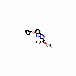 COCC(C)(C)C1Cn2nc3c(OCc4ccccc4)cccc3c2C=N1